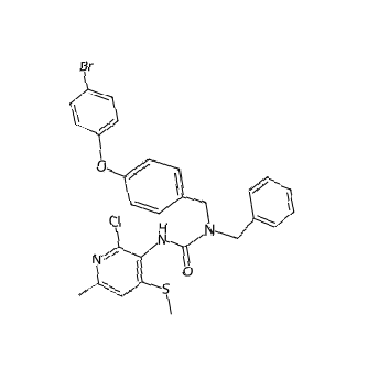 CSc1cc(C)nc(Cl)c1NC(=O)N(Cc1ccccc1)Cc1ccc(Oc2ccc(Br)cc2)cc1